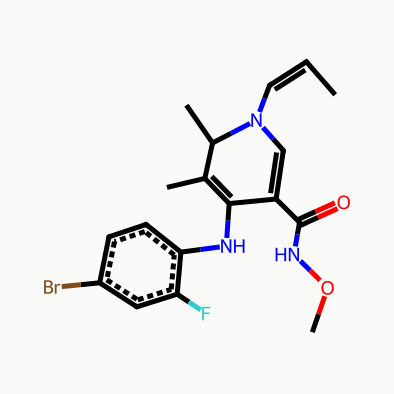 C/C=C\N1C=C(C(=O)NOC)C(Nc2ccc(Br)cc2F)=C(C)C1C